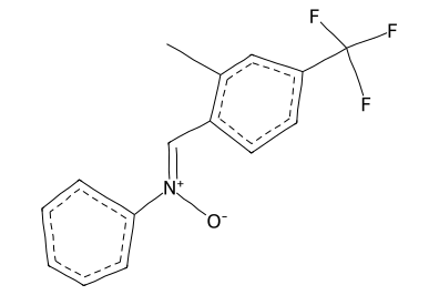 Cc1cc(C(F)(F)F)ccc1C=[N+]([O-])c1ccccc1